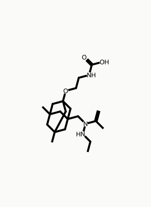 C=C(C)N(CC12CC3(C)CC(C)(C1)CC(OCCNC(=O)O)(C3)C2)NCC